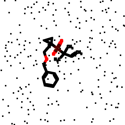 C=CC(C)(C)S(=O)(=O)C1(COCc2ccccc2)CC1